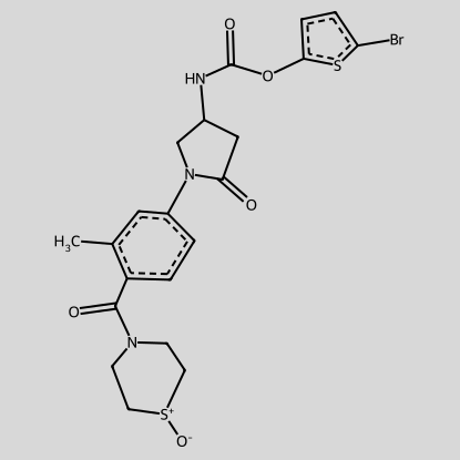 Cc1cc(N2CC(NC(=O)Oc3ccc(Br)s3)CC2=O)ccc1C(=O)N1CC[S+]([O-])CC1